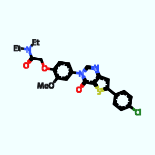 CCN(CC)C(=O)COc1ccc(-n2cnc3cc(-c4ccc(Cl)cc4)sc3c2=O)cc1OC